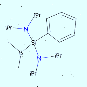 CB(C)[Si](c1ccccc1)(N(C(C)C)C(C)C)N(C(C)C)C(C)C